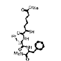 CNC(=O)C(Cc1ccccc1)NC(=O)[C@H](CC(C)C)NC(=O)C(S)CCCCC(=O)OC